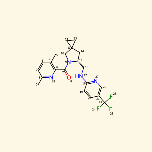 Cc1ccc(C)c(C(=O)N2CC3(CC3)C[C@H]2CNc2ccc(C(F)(F)F)cn2)n1